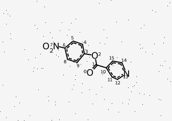 O=C(Oc1ccc([N+](=O)[O-])cc1)c1ccncc1